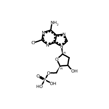 Nc1nc(Cl)nc2c1ncn2[C@H]1CC(O)[C@@H](COP(=O)(O)O)O1